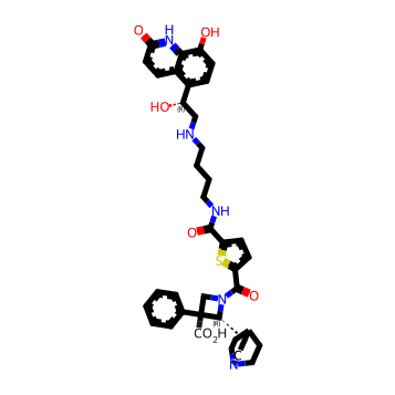 O=C(NCCCCNC[C@H](O)c1ccc(O)c2[nH]c(=O)ccc12)c1ccc(C(=O)N2CC(C(=O)O)(c3ccccc3)[C@H]2C2CN3CCC2CC3)s1